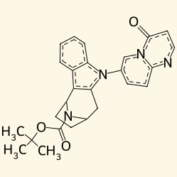 CC(C)(C)OC(=O)N1C2CCC1c1c(n(-c3ccc4nccc(=O)n4c3)c3ccccc13)C2